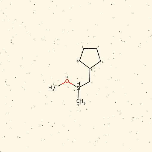 CO[SiH](C)CC1CCCC1